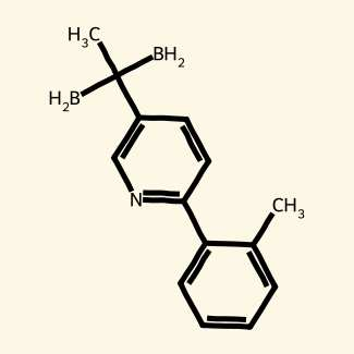 BC(B)(C)c1ccc(-c2ccccc2C)nc1